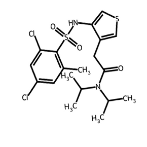 Cc1cc(Cl)cc(Cl)c1S(=O)(=O)Nc1cscc1CC(=O)N(C(C)C)C(C)C